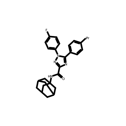 CC(C)c1ccc(-c2nc(C(=O)NC34CC5CC(CC(C5)C3)C4)nn2-c2ccc(F)cc2)cc1